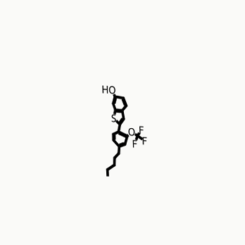 CCCCCc1ccc(-c2cc3ccc(O)cc3s2)c(OC(F)(F)F)c1